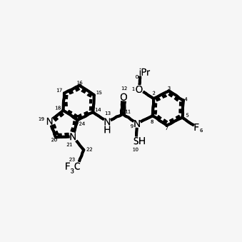 CC(C)Oc1ccc(F)cc1N(S)C(=O)Nc1cccc2ncn(CC(F)(F)F)c12